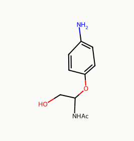 CC(=O)NC(CO)Oc1ccc(N)cc1